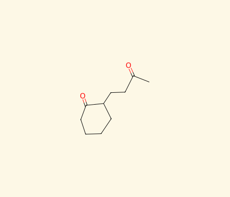 CC(=O)CCC1CCCCC1=O